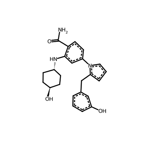 NC(=O)c1ccc(-n2cccc2Cc2cccc(O)c2)cc1N[C@H]1CC[C@H](O)CC1